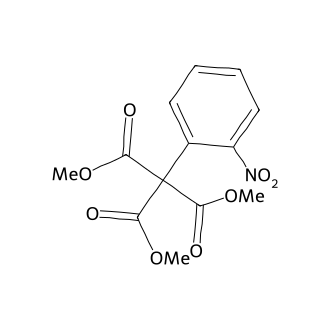 COC(=O)C(C(=O)OC)(C(=O)OC)c1ccccc1[N+](=O)[O-]